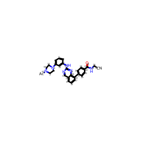 CC(=O)N1CCN(c2cccc(Nc3ncc4cccc(-c5ccc(C(=O)NCC#N)cc5)c4n3)c2)CC1